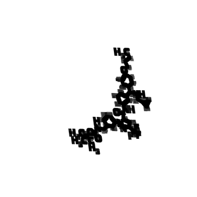 CCCCOc1ccc(C(NCC2CC2)c2cccc(NC(=O)c3cc(C(F)(F)F)nn3-c3cccc(CNC(=O)OC(C)(C)C)c3)c2)cc1